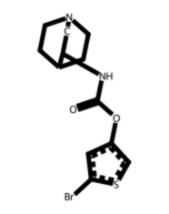 O=C(NC1CN2CCC1CC2)Oc1csc(Br)c1